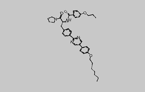 CCCCCCCOc1ccc(-c2cnc(-c3ccc(C[C@H](NC(=O)c4ccc(OCCC)cc4)C(=O)N4CCCC4)cc3)nc2)cc1